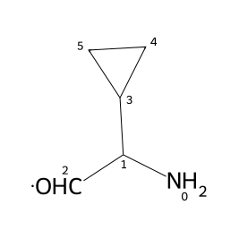 NC([C]=O)C1CC1